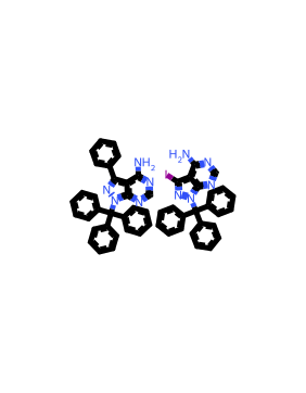 Nc1ncnc2c1c(-c1ccccc1)nn2C(c1ccccc1)(c1ccccc1)c1ccccc1.Nc1ncnc2c1c(I)nn2C(c1ccccc1)(c1ccccc1)c1ccccc1